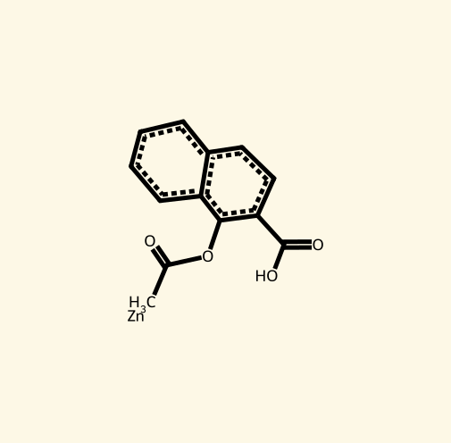 CC(=O)Oc1c(C(=O)O)ccc2ccccc12.[Zn]